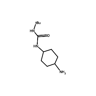 CC(C)(C)NC(=O)NC1CCC(N)CC1